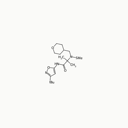 CSN(CC1CCOCC1)C(C)(C)C(=O)Nc1cc(C(C)(C)C)no1